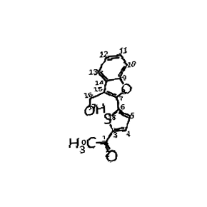 CC(=O)c1ccc(-c2oc3ccccc3c2CO)s1